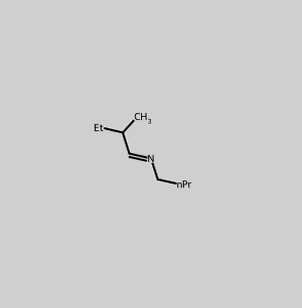 CCCCN=CC(C)CC